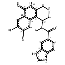 CN(C(=O)c1ccc2nc[nH]c2c1)[C@H]1COCc2[nH]c(=O)c3cc(F)c(F)cc3c21